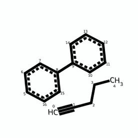 C#CCCC.c1ccc(-c2ccccc2)cc1